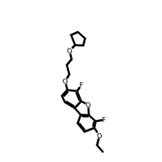 CCOc1ccc2c(oc3c(F)c(OCCCOC4CCCC4)ccc32)c1F